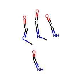 CN=C=O.CN=C=O.N=C=O.N=C=O